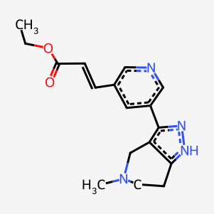 CCOC(=O)C=Cc1cncc(-c2n[nH]c3c2CN(C)CC3)c1